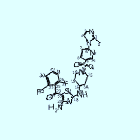 Cc1nccn1-c1ccc(S(=O)(=O)N2CCC(Nc3nc(N)c(C(=O)c4c(F)cccc4F)s3)CC2)cn1